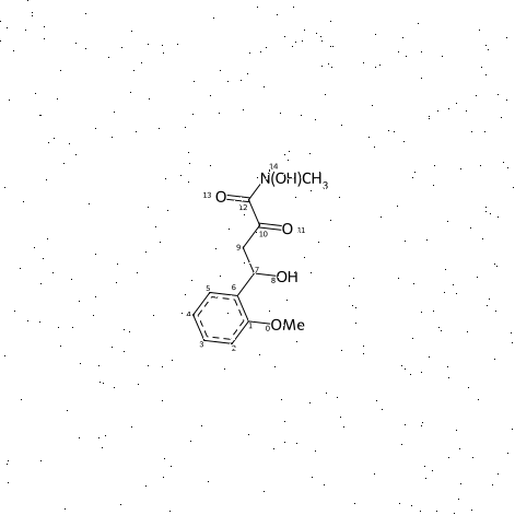 COc1ccccc1C(O)CC(=O)C(=O)N(C)O